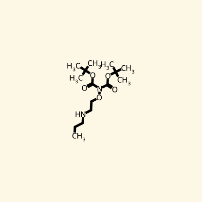 CCCNCCON(C(=O)OC(C)(C)C)C(=O)OC(C)(C)C